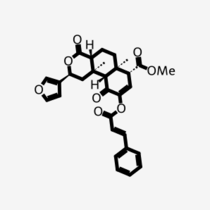 COC(=O)[C@@H]1C=C(OC(=O)/C=C/c2ccccc2)C(=O)[C@H]2[C@@]1(C)CC[C@H]1C(=O)O[C@H](c3ccoc3)C[C@]21C